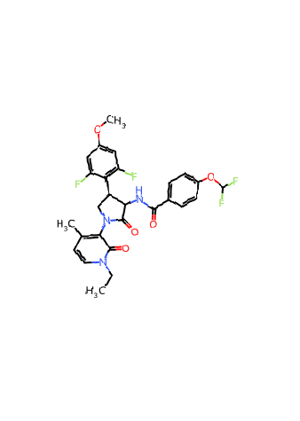 CCn1ccc(C)c(N2C[C@@H](c3c(F)cc(OC)cc3F)C(NC(=O)c3ccc(OC(F)F)cc3)C2=O)c1=O